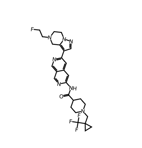 O=C(Nc1cc2cc(-c3cnn4c3CN(CCF)CC4)ncc2cn1)C1CCN(CC2(C(F)(F)F)CC2)CC1